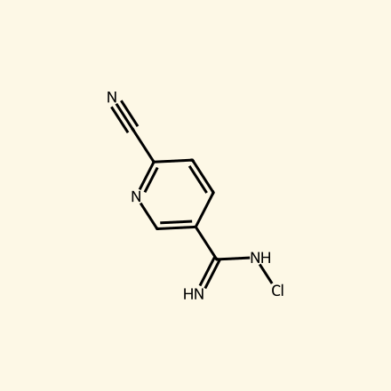 N#Cc1ccc(C(=N)NCl)cn1